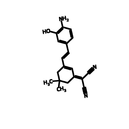 CC1(C)CC(/C=C/c2ccc(N)c(O)c2)=CC(=C(C#N)C#N)C1